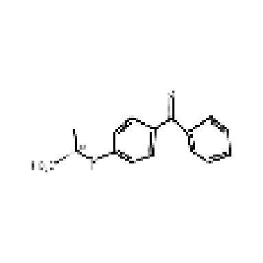 C[C@H](Nc1ccc(C(=O)c2ccccc2)cc1)C(=O)O